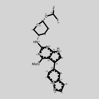 COc1nc(N[C@H]2CC[C@@H](OC(F)F)CC2)nc2[nH]cc(-c3ccn4nccc4c3)c12